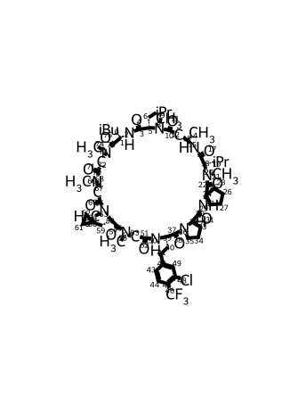 CC[C@H](C)[C@@H]1NC(=O)[C@H](CC(C)C)N(C)C(=O)C[C@@H](C)NC(=O)[C@H](C(C)C)N(C)C(=O)C2(CCCC2)NC(=O)[C@@H]2CCCN2C(=O)[C@H](CCc2ccc(C(F)(F)F)c(Cl)c2)NC(=O)CN(C)C(=O)[C@H](CC2CC2)N(C)C(=O)CN(C)C(=O)CN(C)C1=O